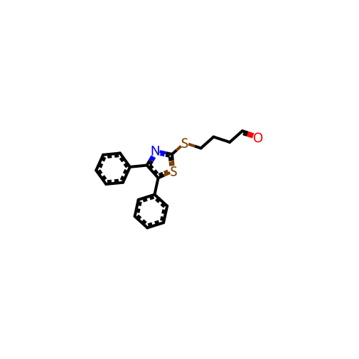 O=CCCCSc1nc(-c2ccccc2)c(-c2ccccc2)s1